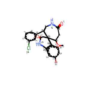 COC1CC(=O)NCC(c2cccc(Cl)c2)C12C(=O)Nc1cc(Br)ccc12